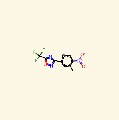 Cc1cc(-c2noc(C(F)(F)F)n2)ccc1[N+](=O)[O-]